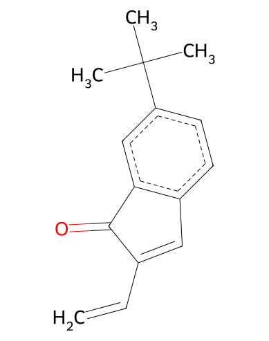 C=CC1=Cc2ccc(C(C)(C)C)cc2C1=O